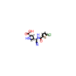 N#CC(NC(=O)c1ccc(Cl)s1)[C@@H]1CN[C@H](C(=O)O)C1